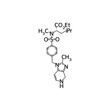 CCOC(=O)[C@H](CC(C)C)N(C)S(=O)(=O)c1ccc(Cn2c(C)nc3c2C=CNC3)cc1